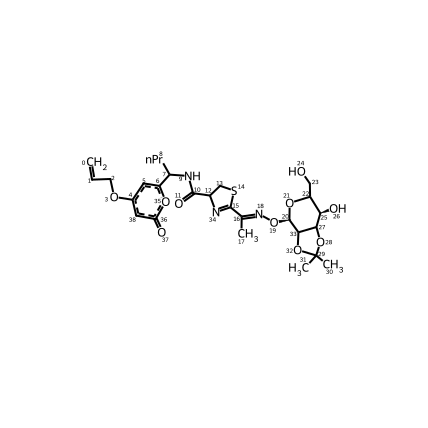 C=CCOc1cc(C(CCC)NC(=O)C2CSC(/C(C)=N/O[C@H]3OC(CO)[C@@H](O)C4OC(C)(C)OC43)=N2)oc(=O)c1